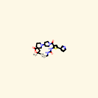 CCNC(=O)Nc1sc(-c2cccnc2)cc1C(=O)N1CCC(N2CCCC3(C2)CC(C)(C)OC3=O)CC1